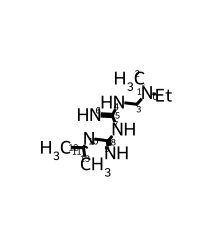 CCN(C)CNC(=N)NC(=N)N=C(C)C